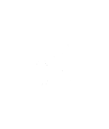 CCSSN(C(C)=O)C(CS)C(=O)O